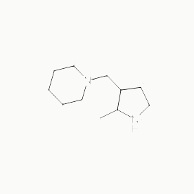 CC1NCCC1CN1CCCCC1